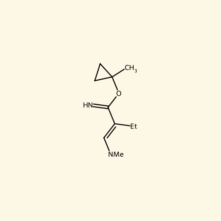 CC/C(=C\NC)C(=N)OC1(C)CC1